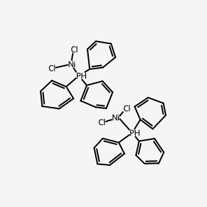 [Cl][Ni]([Cl])[PH](c1ccccc1)(c1ccccc1)c1ccccc1.[Cl][Ni]([Cl])[PH](c1ccccc1)(c1ccccc1)c1ccccc1